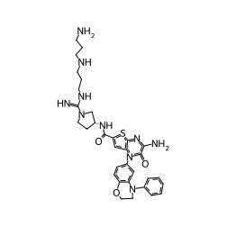 N=C(NCCCNCCCN)N1CC[C@@H](NC(=O)c2cc3c(nc(N)c(=O)n3-c3ccc4c(c3)N(c3ccccc3)CCO4)s2)C1